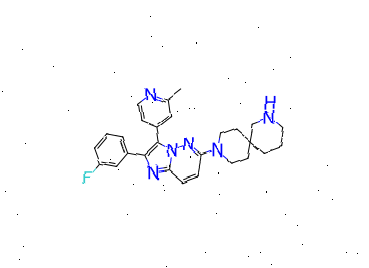 Cc1cc(-c2c(-c3cccc(F)c3)nc3ccc(N4CCC5(CCCNC5)CC4)nn23)ccn1